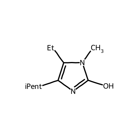 CCCC(C)c1nc(O)n(C)c1CC